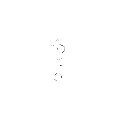 Cc1nn(C)c2nc(NNC(=O)Nc3c(Cl)cncc3Cl)cc(C(C)C)c12